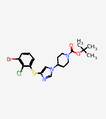 CC(C)(C)OC(=O)N1CCC(n2cnc(Sc3cccc(Br)c3Cl)c2)CC1